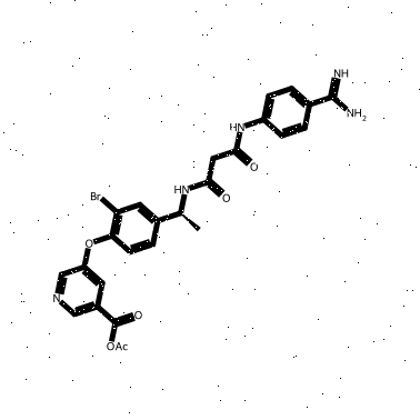 CC(=O)OC(=O)c1cncc(Oc2ccc([C@H](C)NC(=O)CC(=O)Nc3ccc(C(=N)N)cc3)cc2Br)c1